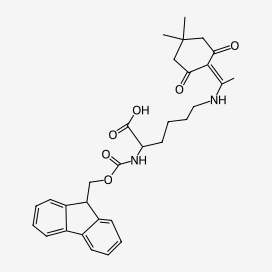 CC(NCCCCC(NC(=O)OCC1c2ccccc2-c2ccccc21)C(=O)O)=C1C(=O)CC(C)(C)CC1=O